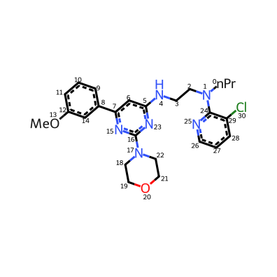 CCCN(CCNc1cc(-c2cccc(OC)c2)nc(N2CCOCC2)n1)c1ncccc1Cl